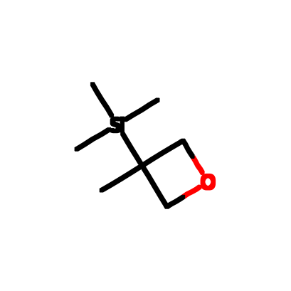 CC1([Si](C)(C)C)COC1